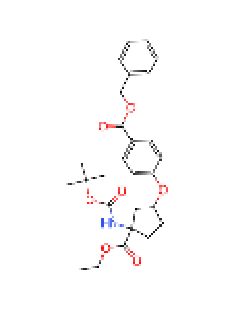 CCOC(=O)C1(NC(=O)OC(C)(C)C)CCC(Oc2ccc(C(=O)OCc3ccccc3)cc2)C1